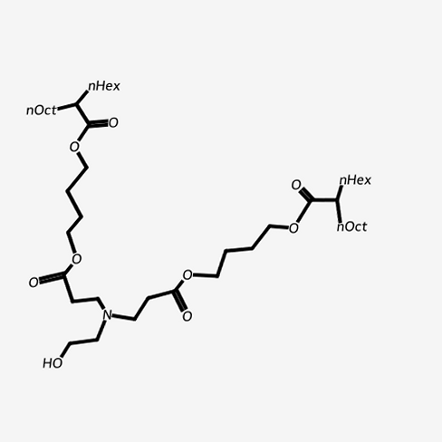 CCCCCCCCC(CCCCCC)C(=O)OCCCCOC(=O)CCN(CCO)CCC(=O)OCCCCOC(=O)C(CCCCCC)CCCCCCCC